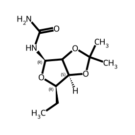 CC[C@H]1O[C@@H](NC(N)=O)C2OC(C)(C)O[C@H]21